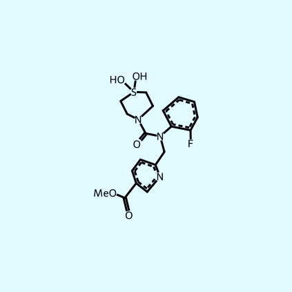 COC(=O)c1ccc(CN(C(=O)N2CCS(O)(O)CC2)c2ccccc2F)nc1